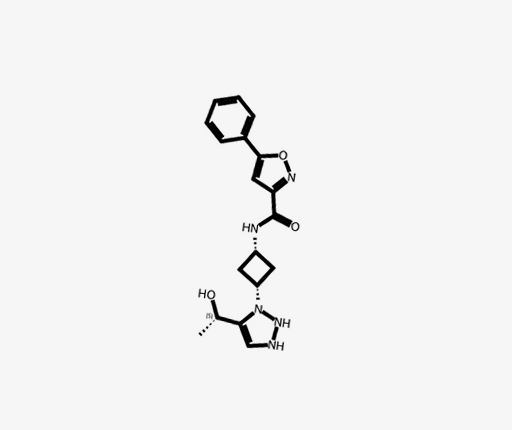 C[C@H](O)C1=CNNN1[C@H]1C[C@@H](NC(=O)c2cc(-c3ccccc3)on2)C1